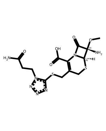 CO[C@@]1(N)C(=O)N2C(C(=O)O)=C(CSc3nnnn3CCC(N)=O)CS[C@@H]21